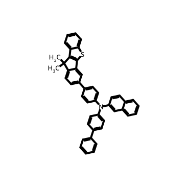 CC1(C)c2ccc(-c3ccc(N(c4ccc(-c5ccccc5)cc4)c4ccc5ccccc5c4)cc3)cc2-c2sc3ccccc3c21